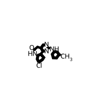 Cc1cccc(Nc2ncc3c(n2)-c2ccc(Cl)cc2NC(=O)C3)c1